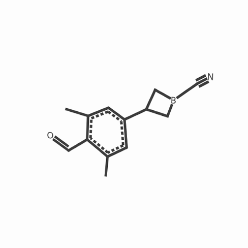 Cc1cc(C2CB(C#N)C2)cc(C)c1C=O